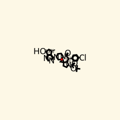 C[C@@H]1C[C@@H](O)c2ncnc(N3CCN(C(=O)[C@@H](c4ccc(Cl)cc4)[C@H]4N(C(=O)OC(C)(C)C)CCC45CC5)CC3)c21